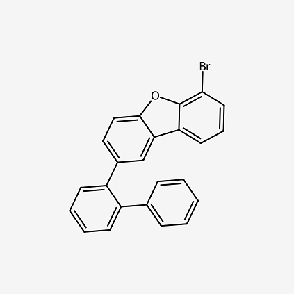 Brc1cccc2c1oc1ccc(-c3ccccc3-c3ccccc3)cc12